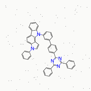 c1ccc(-c2nc(-c3ccccc3)nc(-c3ccc(-c4cccc(-n5c6ccccc6c6ccc7c(ccn7-c7ccccc7)c65)c4)cc3)n2)cc1